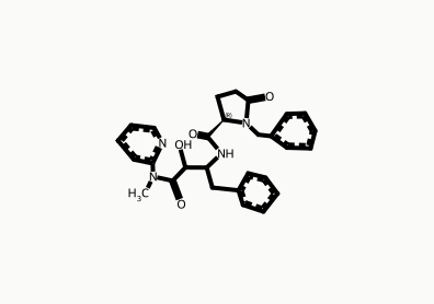 CN(C(=O)C(O)C(Cc1ccccc1)NC(=O)[C@H]1CCC(=O)N1Cc1ccccc1)c1ccccn1